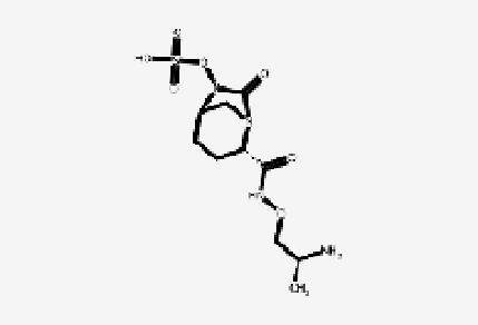 C[C@H](N)CONC(=O)[C@@H]1CCC2CN1C(=O)N2OS(=O)(=O)O